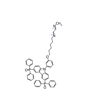 C/N=C/C=N/CCCCCCOc1cccc(-n2c3ccc(P(=O)(c4ccccc4)c4ccccc4)cc3c3cc(P(=O)(c4ccccc4)c4ccccc4)ccc32)c1